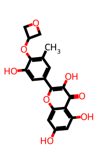 Cc1cc(-c2oc3cc(O)cc(O)c3c(=O)c2O)cc(O)c1OC1COC1